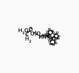 C=C(C)C(=O)OCCOCCNC(=O)SC(c1ccccc1)(c1ccccc1)c1ccccc1